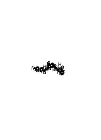 N#Cc1ccc(N2CCN(C(=O)CCc3nc4cc(OC(=O)CCc5nc6ccccc6c(=O)[nH]5)ccc4c(=O)[nH]3)CC2)nc1